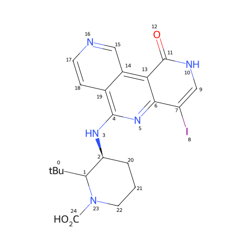 CC(C)(C)C1[C@@H](Nc2nc3c(I)c[nH]c(=O)c3c3cnccc23)CCCN1C(=O)O